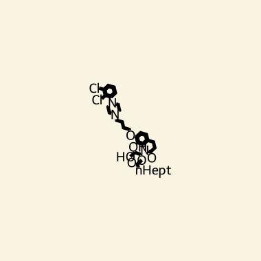 CCCCCCCC(=O)OC(C(O)O)N1C(=O)CCc2ccc(OCCCCN3CCN(c4cccc(Cl)c4Cl)CC3)cc21